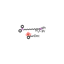 CC(C)C[P+](C)(CCCCCCCCCCCCCCP(c1ccccc1)c1ccccc1)CC(C)C.CCCCCCCCCCCCc1ccccc1S(=O)(=O)[O-]